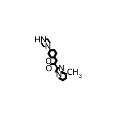 Cc1cccn2cc(-c3cc4ccc(N5CCNCC5)cc4oc3=O)nc12